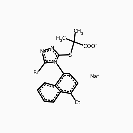 CCc1ccc(-n2c(Br)nnc2SC(C)(C)C(=O)[O-])c2ccccc12.[Na+]